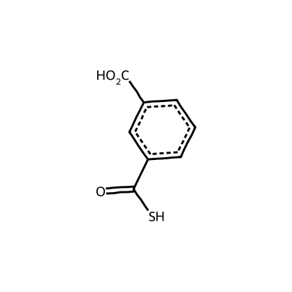 O=C(O)c1cccc(C(=O)S)c1